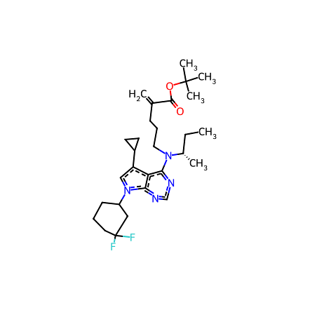 C=C(CCCN(c1ncnc2c1c(C1CC1)cn2C1CCCC(F)(F)C1)[C@@H](C)CC)C(=O)OC(C)(C)C